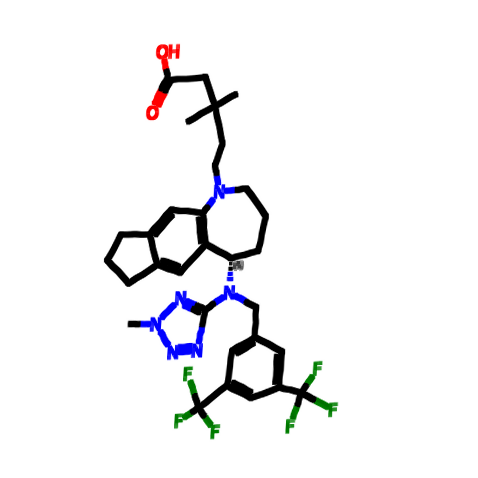 Cn1nnc(N(Cc2cc(C(F)(F)F)cc(C(F)(F)F)c2)[C@H]2CCCN(CCC(C)(C)CC(=O)O)c3cc4c(cc32)CCC4)n1